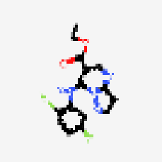 CCOC(=O)c1cnc2ccnn2c1Nc1cc(F)ccc1F